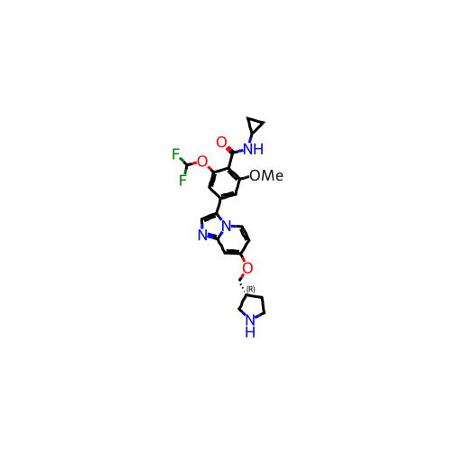 COc1cc(-c2cnc3cc(OC[C@@H]4CCNC4)ccn23)cc(OC(F)F)c1C(=O)NC1CC1